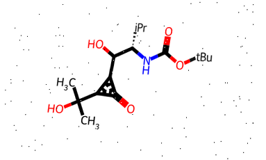 CC(C)[C@H](NC(=O)OC(C)(C)C)C(O)c1c(C(C)(C)O)c1=O